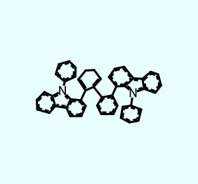 C1=C(c2ccccc2-c2cccc3c4ccccc4n(-c4ccccc4)c23)C(c2cccc3c4ccccc4n(-c4ccccc4)c23)=CCC1